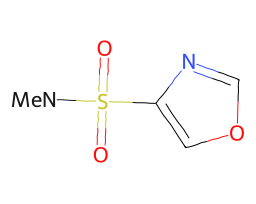 CNS(=O)(=O)c1cocn1